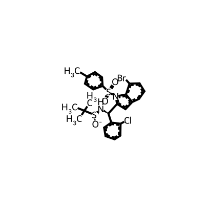 Cc1ccc(S(=O)(=O)n2c([C@H](N[S@@+]([O-])C(C)(C)C)c3ccccc3Cl)cc3cccc(Br)c32)cc1